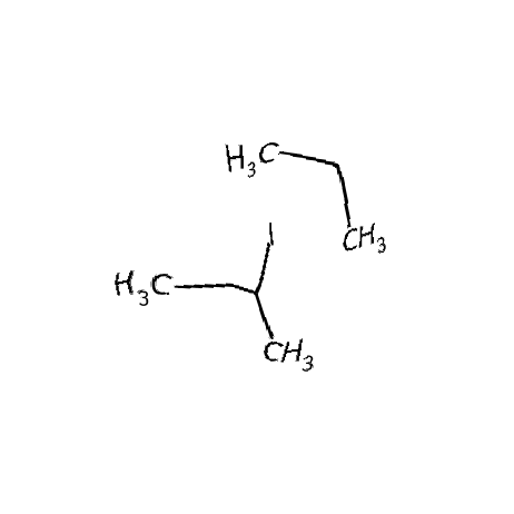 CC(C)I.CCC